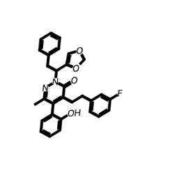 Cc1nn(C(Cc2ccccc2)C2=COCO2)c(=O)c(CCc2cccc(F)c2)c1-c1ccccc1O